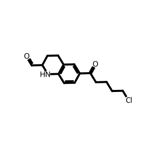 O=CC1CCc2cc(C(=O)CCCCCl)ccc2N1